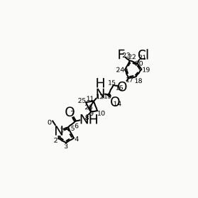 Cn1cccc1C(=O)NC12CC(NC(=O)COc3ccc(Cl)c(F)c3)(C1)C2